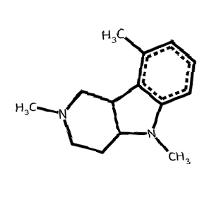 Cc1cccc2c1C1CN(C)CCC1N2C